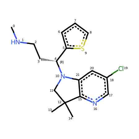 CNCC[C@H](c1cccs1)N1CC(C)(C)c2ncc(Cl)cc21